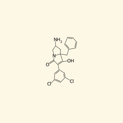 NC1CN2C(=O)C(c3cc(Cl)cc(Cl)c3)=C(O)C2(Cc2ccccc2)C1